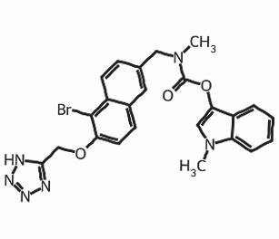 CN(Cc1ccc2c(Br)c(OCc3nnn[nH]3)ccc2c1)C(=O)Oc1cn(C)c2ccccc12